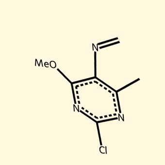 C=Nc1c(C)nc(Cl)nc1OC